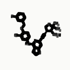 CC1(C)OC[C@@H](C#Cc2cc3sccc3c(Nc3ccc(OCc4cccc(F)c4)c(Cl)c3)n2)N1C(=O)O